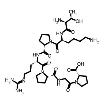 C[C@@H](O)[C@H](N)C(=O)N[C@@H](CCCCN)C(=O)N1CCC[C@H]1C(=O)N[C@@H](CCCN=C(N)N)C(=O)N1CCC[C@H]1C(=O)NCC(=O)N1CCC[C@H]1C(=O)O